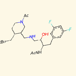 CC(=O)NC(Cc1cc(F)cc(F)c1)C(O)CNCC1CN(C(C)=O)CCC1CC(C)(C)C